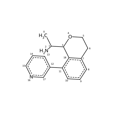 CC(N)C1OCCc2cccc(-c3cccnc3)c21